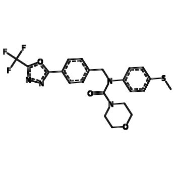 CSc1ccc(N(Cc2ccc(-c3nnc(C(F)(F)F)o3)cc2)C(=O)N2CCOCC2)cc1